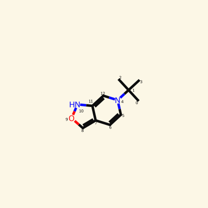 CC(C)(C)N1C=CC2=CONC2=C1